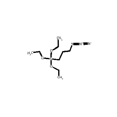 CCO[Si](CCCN=[N+]=[N-])(OCC)OCC